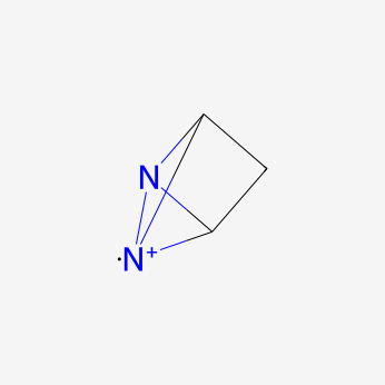 C1C2N3C1[N+]23